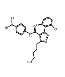 CCN(CC)c1ccc(NC(=O)c2c(-c3c(Cl)cccc3Cl)noc2CCCCO)cc1